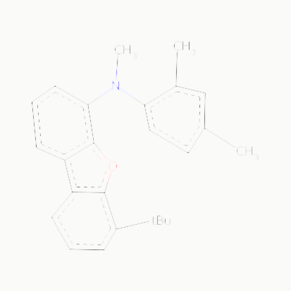 Cc1ccc(N(C)c2cccc3c2oc2c(C(C)(C)C)cccc23)c(C)c1